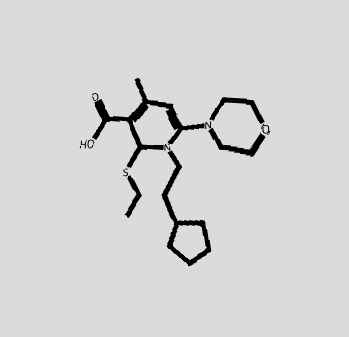 CCSC1C(C(=O)O)=C(C)C=C(N2CCOCC2)N1CCC1CCCC1